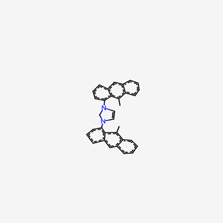 Cc1c2ccccc2cc2cccc(N3C=CN(c4cccc5cc6ccccc6c(C)c45)C3)c12